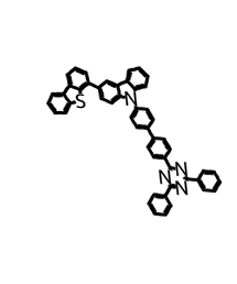 c1ccc(-c2nc(-c3ccccc3)nc(-c3ccc(-c4ccc(-n5c6ccccc6c6cc(-c7cccc8c7sc7ccccc78)ccc65)cc4)cc3)n2)cc1